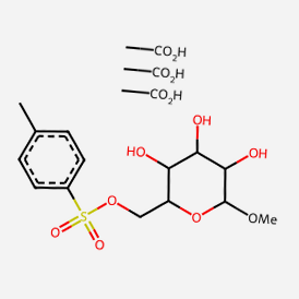 CC(=O)O.CC(=O)O.CC(=O)O.COC1OC(COS(=O)(=O)c2ccc(C)cc2)C(O)C(O)C1O